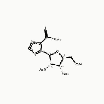 COC(=O)c1ncnn1[C@H]1O[C@@H](COC(C)=O)[C@H](OC(C)=O)[C@@H]1OC(C)=O